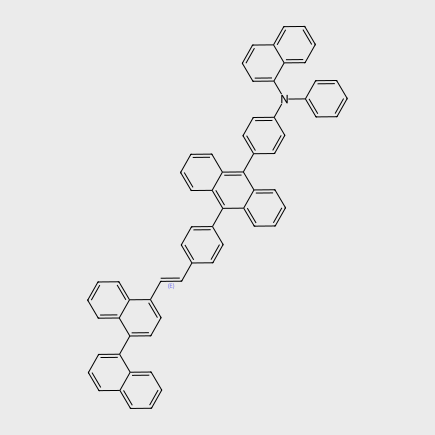 C(=C\c1ccc(-c2cccc3ccccc23)c2ccccc12)/c1ccc(-c2c3ccccc3c(-c3ccc(N(c4ccccc4)c4cccc5ccccc45)cc3)c3ccccc23)cc1